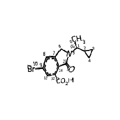 C[C@@H](C1CC1)N1Cc2cc(Br)cc(C(=O)O)c2C1=O